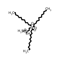 CCCCCCCCCCCC(=O)[Si](CC[SiH](C)O[SiH3])(C(=O)CCCCCCCCCCC)C(=O)CCCCCCCCCCC